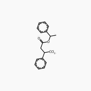 CC(OC(=O)CC(c1ccccc1)C(Cl)(Cl)Cl)c1ccccc1